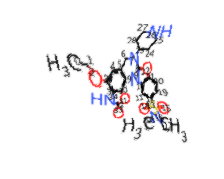 CCOc1cc(CN(c2nc3cc(S(=O)(=O)N(C)C)ccc3o2)C2CCNCC2)cc2oc(=O)[nH]c12